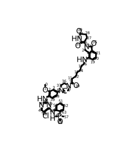 COc1cc(N2CCN(C(=O)CCCCCCNc3cccc4c3CN(C3CCC(=O)NC3=O)C4=O)CC2)ccc1Nc1ncc(Cl)c(Nc2ccccc2P(C)(C)=O)n1